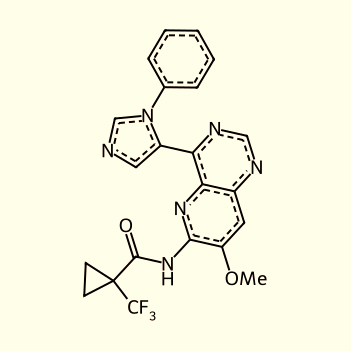 COc1cc2ncnc(-c3cncn3-c3ccccc3)c2nc1NC(=O)C1(C(F)(F)F)CC1